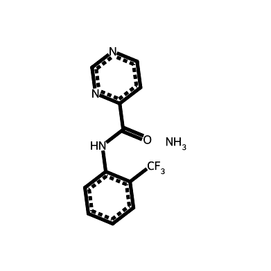 N.O=C(Nc1ccccc1C(F)(F)F)c1ccncn1